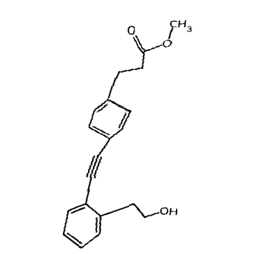 COC(=O)CCc1ccc(C#Cc2ccccc2CCO)cc1